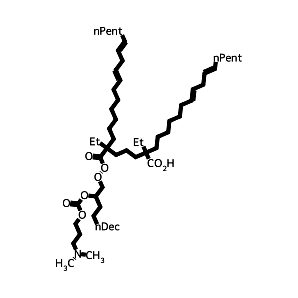 CCCCCC=CCC=CCCCCCCC(CC)(CCCC(CC)(CCCCCCC=CCC=CCCCCC)C(=O)OOCC(CCCCCCCCCCCC)OC(=O)OCCCN(C)C)C(=O)O